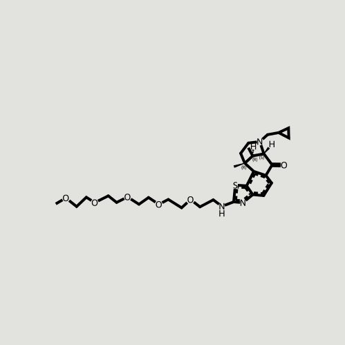 COCCOCCOCCOCCOCCNc1nc2ccc3c(c2s1)[C@]1(C)CCN(CC2CC2)[C@H](C3=O)[C@@H]1C